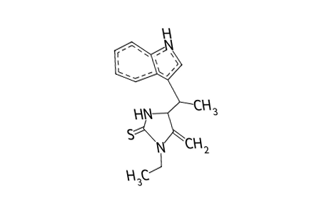 C=C1C(C(C)c2c[nH]c3ccccc23)NC(=S)N1CC